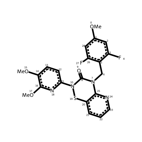 COc1cc(F)c(CN2C(=O)N(c3ccc(OC)c(OC)n3)Sc3cccnc32)c(F)c1